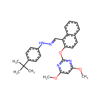 COc1cc(OC)nc(Oc2ccc3ccccc3c2C=NNc2ccc(C(C)(C)C)cc2)n1